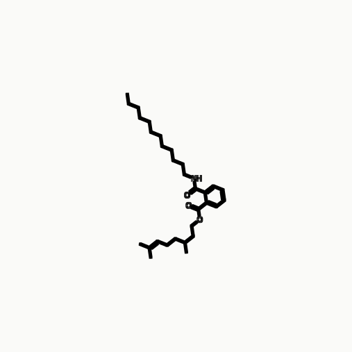 CCCCCCCCCCCCNC(=O)c1ccccc1C(=O)OCCC(C)CCC=C(C)C